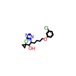 OC(C(CCCCOc1cccc(Cl)c1)n1cncn1)C1(Cl)CC1